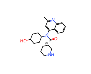 Cc1cc(N(C(=O)[C@H]2CCCNC2)C2CCC(O)CC2)c2ccccc2n1